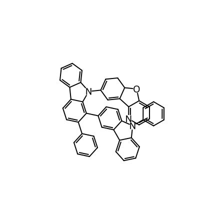 C1=C2c3ncccc3OC2CC=C1n1c2ccccc2c2ccc(-c3ccccc3)c(-c3ccc4c(c3)c3ccccc3n4-c3ccccc3)c21